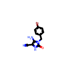 N#Cc1[nH]c(=O)n(Cc2ccc(Br)cc2)c1N